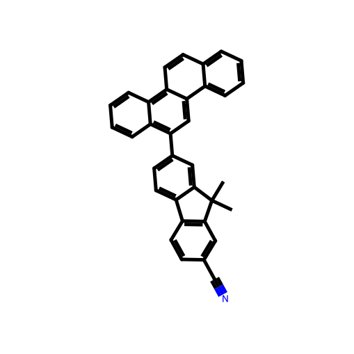 CC1(C)c2cc(C#N)ccc2-c2ccc(-c3cc4c5ccccc5ccc4c4ccccc34)cc21